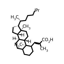 CC(=CC1CCCC2CC[C@@H]3[C@H](CC[C@]4(C)[C@@H]([C@H](C)CCCC(C)C)CC[C@@H]34)[C@@]12C)C(=O)O